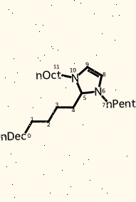 CCCCCCCCCCCCCCC1N(CCCCC)C=CN1CCCCCCCC